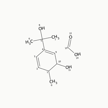 CC1C=CC(C(C)(C)O)=CC1O.O=CO